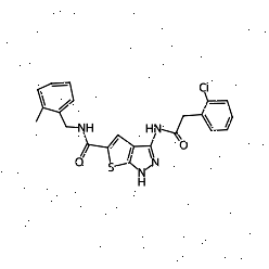 Cc1ccccc1CNC(=O)c1cc2c(NC(=O)Cc3ccccc3Cl)n[nH]c2s1